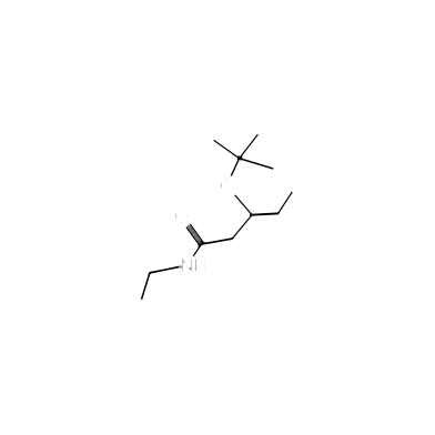 CCNC(=O)CC(CC)OC(C)(C)C